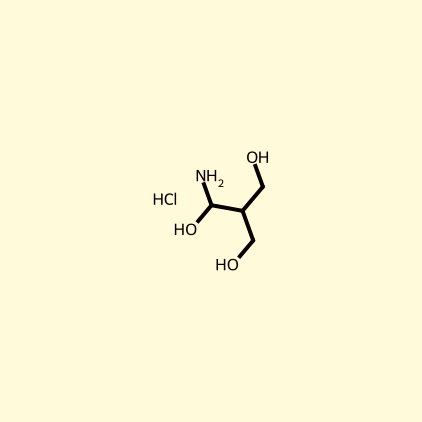 Cl.NC(O)C(CO)CO